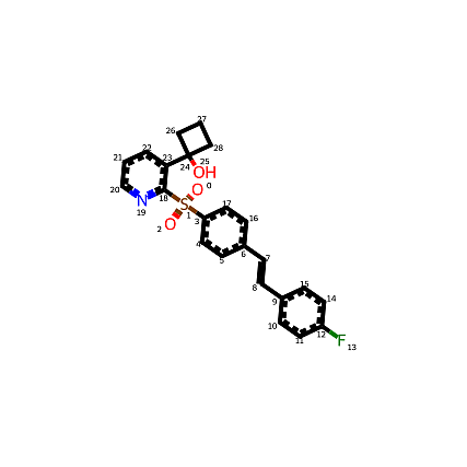 O=S(=O)(c1ccc(/C=C/c2ccc(F)cc2)cc1)c1ncccc1C1(O)CCC1